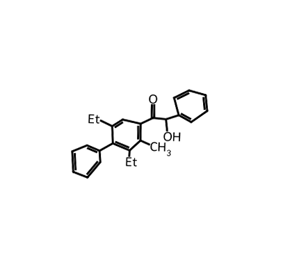 CCc1cc(C(=O)C(O)c2ccccc2)c(C)c(CC)c1-c1ccccc1